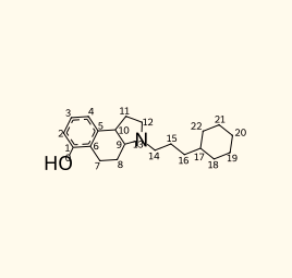 Oc1cccc2c1CCC1C2CCN1CCCC1CCCCC1